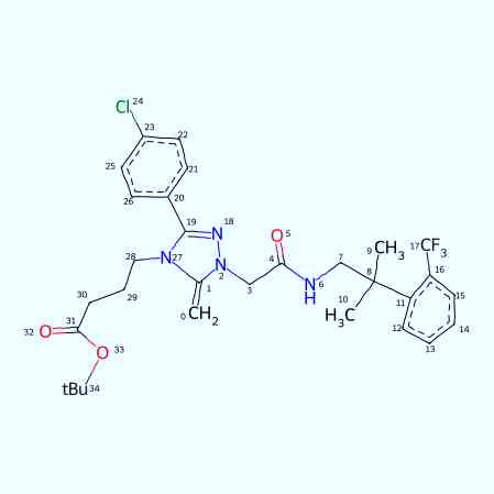 C=C1N(CC(=O)NCC(C)(C)c2ccccc2C(F)(F)F)N=C(c2ccc(Cl)cc2)N1CCCC(=O)OC(C)(C)C